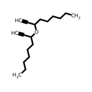 C#CC(CCCCCC)OC(C#C)CCCCCC